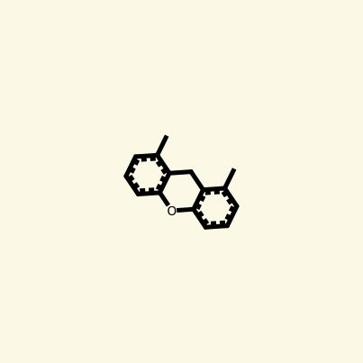 Cc1cccc2c1Cc1c(C)cccc1O2